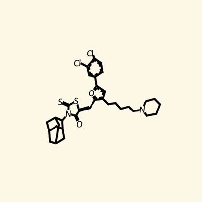 O=C1/C(=C/c2oc(-c3ccc(Cl)c(Cl)c3)cc2CCCCCN2CCCCC2)SC(=S)N1C1C2CC3CC(C2)CC1C3